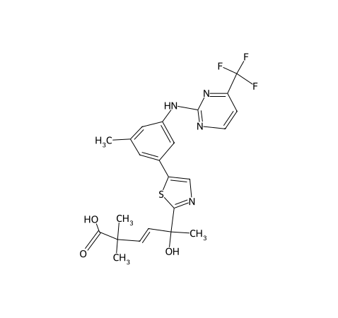 Cc1cc(Nc2nccc(C(F)(F)F)n2)cc(-c2cnc(C(C)(O)/C=C/C(C)(C)C(=O)O)s2)c1